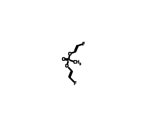 CP(=O)(O/C=C/F)O/C=C/F